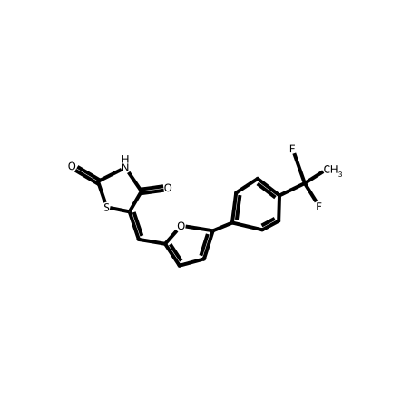 CC(F)(F)c1ccc(-c2ccc(C=C3SC(=O)NC3=O)o2)cc1